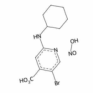 O=C(O)c1cc(NC2CCCCC2)ncc1Br.O=NO